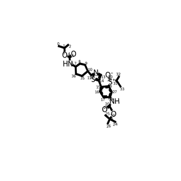 CC(C)OC(=O)NC1CCC(c2ncc(-c3ccc(NC(=O)OC(C)(C)C)cc3[S+]([O-])C(C)C)s2)CC1